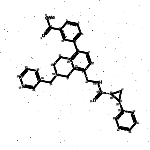 COC(=O)c1cccc(-c2ccc(CNC(=O)[C@@H]3C[C@H]3c3ccccc3)c3c2CCN(Cc2cccnc2)C3)c1